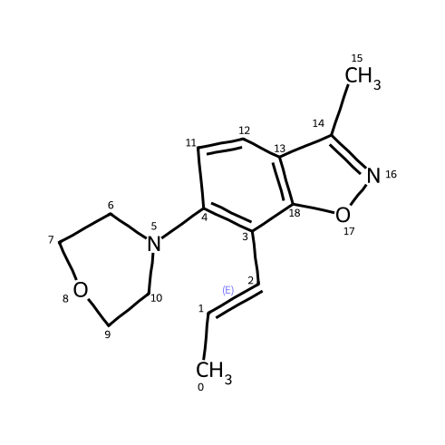 C/C=C/c1c(N2CCOCC2)ccc2c(C)noc12